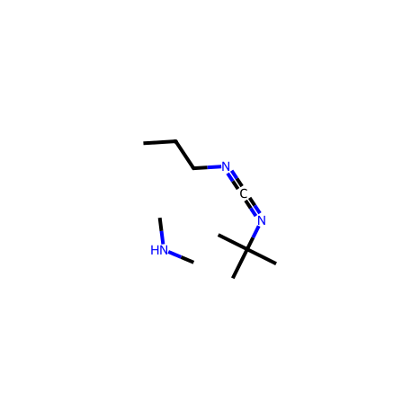 CCCN=C=NC(C)(C)C.CNC